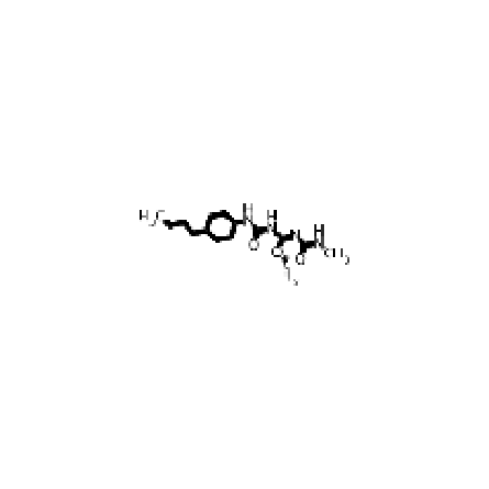 CCCCC1CCC(NC(=O)NC(=NC(=O)NC)OC)CC1